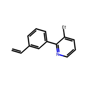 C=Cc1cccc(-c2ncccc2CC)c1